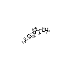 NC(=O)CN1CC[C@H](Cn2ccc3c(N(Cc4ccc(C(F)(F)F)cn4)C4CC4)ncnc32)[C@@H](O)C1